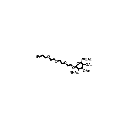 CC(=O)N[C@H]1C(OCCOCCOCCOCCC(C)C)O[C@H](COC(C)=O)[C@H](OC(C)=O)[C@@H]1OC(C)=O